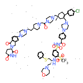 C[C@@]1(CN2CCN(C(=O)CN3CCC(CCN4CCN(c5ccc6c(c5)CN(C5CCC(=O)NC5=O)C6=O)CC4)CC3)CC2)CCC(c2ccc(Cl)cc2)=C(CN2CCN(c3ccc(C(=O)NS(=O)(=O)c4ccc(N[C@H](CCN5CCCOCC5)CSc5ccccc5)c(S(=O)(=O)C(F)(F)F)c4)cc3)CC2)C1